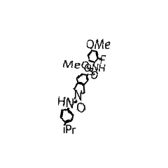 COc1cc(F)c(NS(=O)(=O)c2ccc3c(c2)CN(C(=O)Nc2ccc(C(C)C)cc2)C3)c(OC)c1